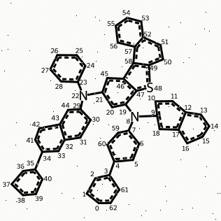 c1ccc(-c2ccc(N(c3ccc4ccccc4c3)c3cc(N(c4ccccc4)c4ccc5cc(-c6ccccc6)ccc5c4)cc4c3sc3ccc5ccccc5c34)cc2)cc1